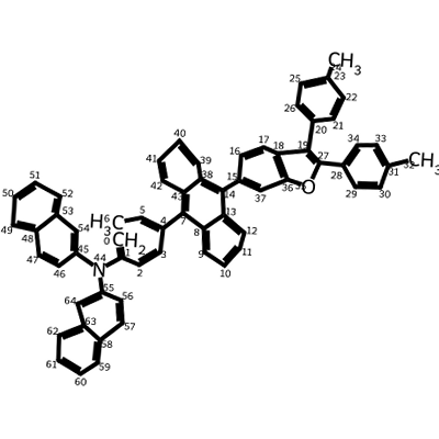 C=C(/C=C\C(=C/C)c1c2ccccc2c(-c2ccc3c(-c4ccc(C)cc4)c(-c4ccc(C)cc4)oc3c2)c2ccccc12)N(c1ccc2ccccc2c1)c1ccc2ccccc2c1